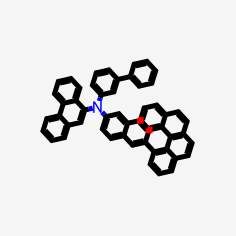 c1ccc(-c2cccc(N(c3ccc4cc(-c5cccc6ccc7ccc8ccccc8c7c56)ccc4c3)c3cc4ccccc4c4ccccc34)c2)cc1